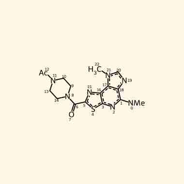 CNc1nc2sc(C(=O)N3CCN(C(C)=O)CC3)nc2c2c1ncn2C